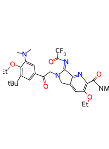 CCOc1cc2c(nc1C(=O)NC)/C(=N/C(=O)C(F)(F)F)N(CC(=O)c1cc(N(C)C)c(OCC)c(C(C)(C)C)c1)C2